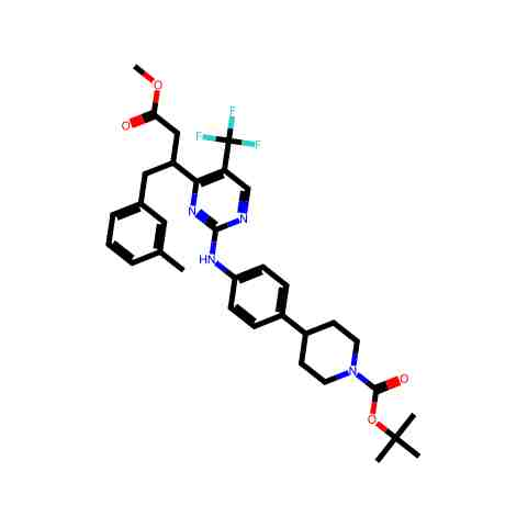 COC(=O)CC(Cc1cccc(C)c1)c1nc(Nc2ccc(C3CCN(C(=O)OC(C)(C)C)CC3)cc2)ncc1C(F)(F)F